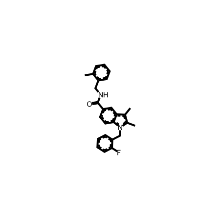 Cc1ccccc1CNC(=O)c1ccc2c(c1)c(C)c(C)n2Cc1ccccc1F